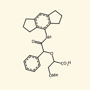 COCC(OC(C(=O)Nc1c2c(cc3c1CCC3)CCC2)c1ccccc1)C(=O)O